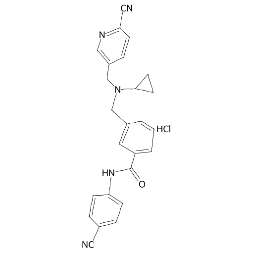 Cl.N#Cc1ccc(NC(=O)c2cccc(CN(Cc3ccc(C#N)nc3)C3CC3)c2)cc1